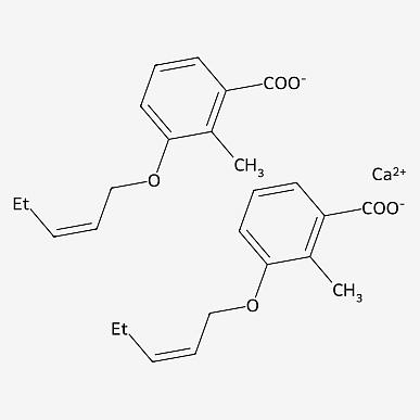 CC/C=C\COc1cccc(C(=O)[O-])c1C.CC/C=C\COc1cccc(C(=O)[O-])c1C.[Ca+2]